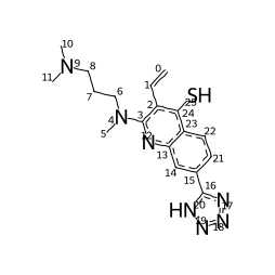 C=Cc1c(N(C)CCCN(C)C)nc2cc(-c3nnn[nH]3)ccc2c1S